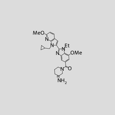 CCn1c(-c2cc3ccc(OC)nc3n2CC2CC2)nc2cc(C(=O)N3CCC[C@@H](N)C3)cc(OC)c21